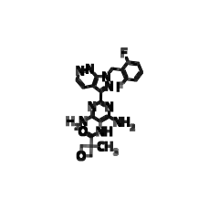 CC1(C(=O)Nc2c(N)nc(-c3nn(Cc4c(F)cccc4F)c4nnccc34)nc2N)COC1